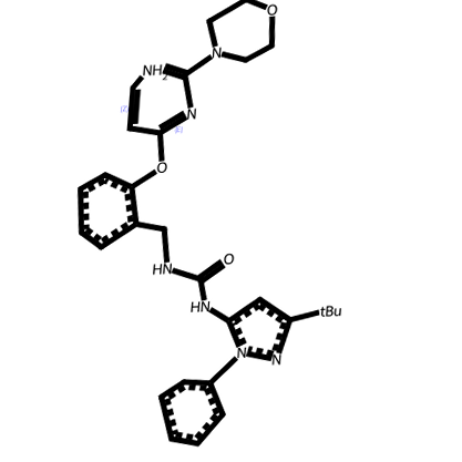 C=C(/N=C(\C=C/N)Oc1ccccc1CNC(=O)Nc1cc(C(C)(C)C)nn1-c1ccccc1)N1CCOCC1